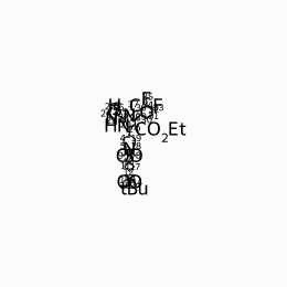 CCOC(=O)C1=C(C2CCN(S(=O)(=O)[C@H]3C[C@@H](C(=O)OC(C)(C)C)C3)CC2)NC(c2nccs2)=NC1c1ccc(F)c(F)c1C